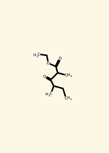 CCOC(=O)C(C)C(=O)C(C)CC